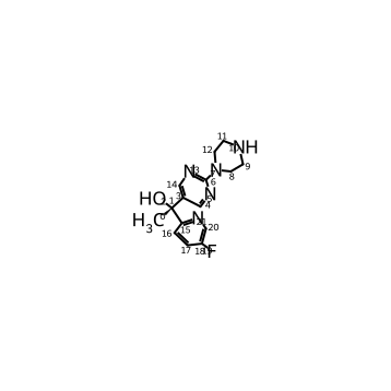 C[C@@](O)(c1cnc(N2CCNCC2)nc1)c1ccc(F)cn1